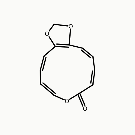 O=C1C=CC=CC2=C(C=CC=CO1)OCO2